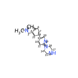 CN(C)Cc1cccc(-c2ccc(N3CCNCC3)nc2)c1